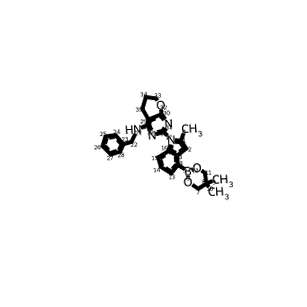 Cc1cc2c(B3OCC(C)(C)CO3)cccc2n1-c1nc(NCc2ccccc2)c2c(n1)OCCC2